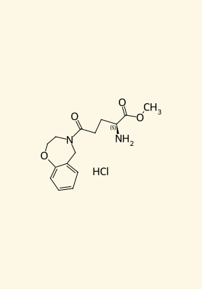 COC(=O)[C@@H](N)CCC(=O)N1CCOc2ccccc2C1.Cl